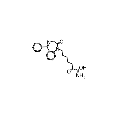 NN(O)C(=O)CCCCCN1C(=O)CN=C(c2ccccc2)c2ccccc21